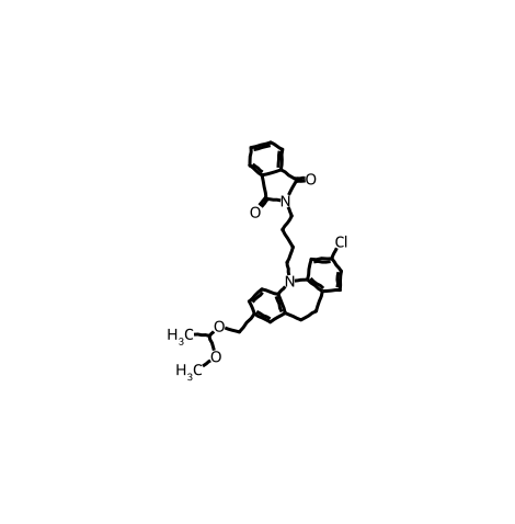 COC(C)OCc1ccc2c(c1)CCc1ccc(Cl)cc1N2CCCCN1C(=O)c2ccccc2C1=O